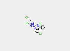 ClCCCC(CCl)=NNC1=Nc2ccc(Cl)cc2C(c2ccccc2Cl)=NC1